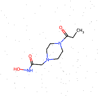 CCC(=O)N1CCN(CC(=O)NO)CC1